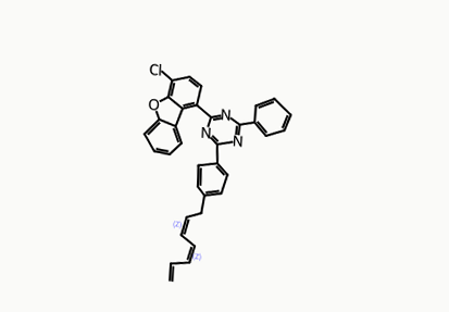 C=C/C=C\C=C/Cc1ccc(-c2nc(-c3ccccc3)nc(-c3ccc(Cl)c4oc5ccccc5c34)n2)cc1